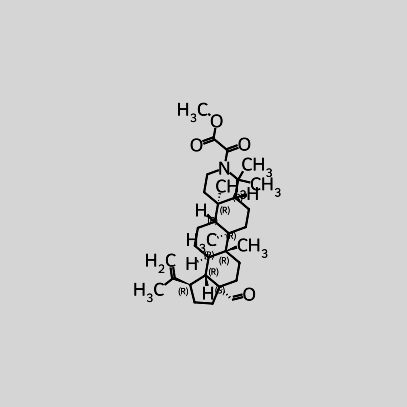 C=C(C)[C@@H]1CC[C@]2(C=O)CC[C@]3(C)[C@H](CC[C@@H]4[C@@]5(C)CCN(C(=O)C(=O)OC)C(C)(C)[C@@H]5CC[C@]43C)[C@@H]12